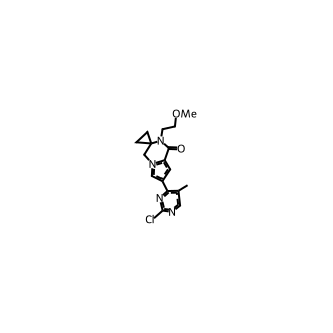 COCCN1C(=O)c2cc(-c3nc(Cl)ncc3C)cn2CC12CC2